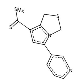 CSC(=S)c1cc(-c2cccnc2)n2c1CSC2